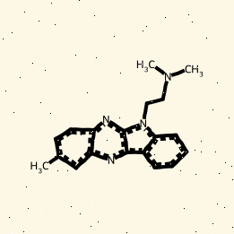 Cc1ccc2nc3c(nc2c1)c1ccccc1n3CCN(C)C